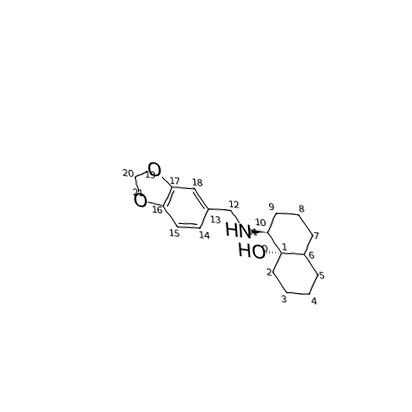 O[C@@]12CCCCC1CCC[C@@H]2NCc1ccc2c(c1)OCO2